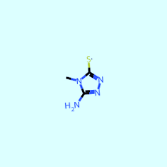 Cn1c(N)nnc1[S]